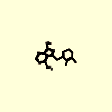 CC1=C(C)C(Cc2nn(C(C)(C)C)c3ncnc(N)c23)=CCC1